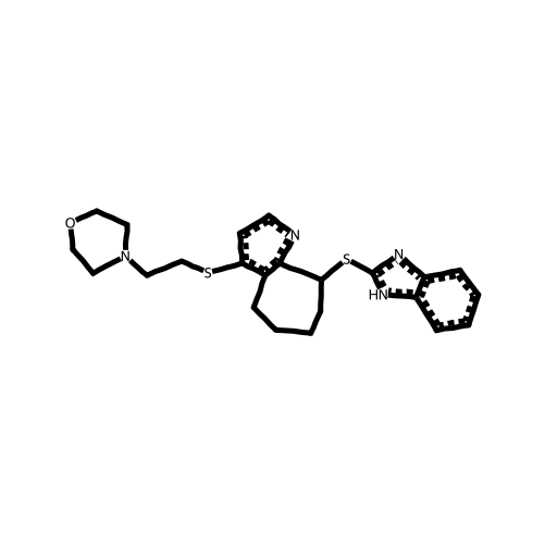 c1ccc2[nH]c(SC3CCCCc4c(SCCN5CCOCC5)ccnc43)nc2c1